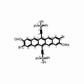 COc1cc2cc3c(C#C[Si](C(C)C)(C(C)C)C(C)C)c4cc5cc(Br)c(C=O)cc5cc4c(C#C[Si](C(C)C)(C(C)C)C(C)C)c3cc2cc1Br